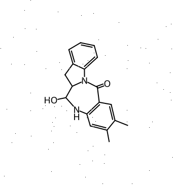 Cc1cc2c(cc1C)C(=O)N1c3ccccc3CC1C(O)N2